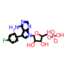 Nc1ncnc2c1c(-c1ccc(F)cc1)cn2C1OC(COP(=O)(O)O)C(O)C1O